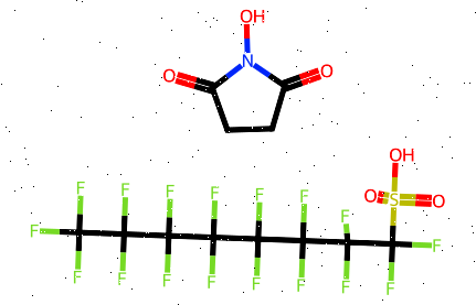 O=C1CCC(=O)N1O.O=S(=O)(O)C(F)(F)C(F)(F)C(F)(F)C(F)(F)C(F)(F)C(F)(F)C(F)(F)C(F)(F)F